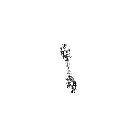 C=C1CN2C(=O)c3cc(OC)ccc3N=C[C@H]2C1OCCCCCCCCCCOC1C(=C)CN2C(=O)c3cc(OC)ccc3N=C[C@@H]12